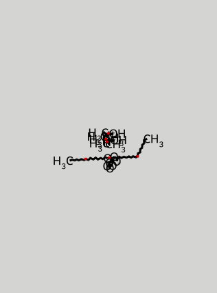 CCCCCCCC/C=C\CCCCCCCC(=O)OC(COCCCCCCCCCCCCCCCC)COP(=O)([O-])[O-].C[N+](C)(C)CCO.C[N+](C)(C)CCO